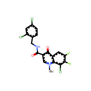 CCC(C)n1cc(C(=O)NCc2ccc(Cl)cc2Cl)c(=O)c2cc(F)c(F)c(Cl)c21